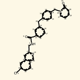 O=C(NCc1cc2cc(Cl)ccc2cn1)c1cccc(Cc2ccc(Cn3ccccc3=O)cc2)c1